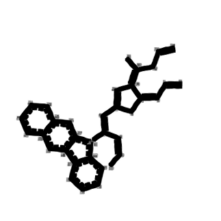 C=C/C=C1CC(/C=C(\C=C/C)n2c3ccccc3c3cc4ccccc4cc32)=CC/1=C(\C)CC=C